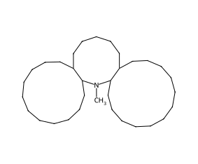 CN1C2CCCCCCCCCCCCC2CCCCCC2CCCCCCCCCCCC21